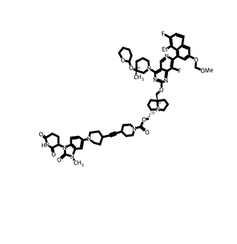 CCc1c(F)ccc2cc(OCOC)cc(-c3ncc4c(N5CCC[C@@](C)(OC6CCCCO6)C5)nc(OC[C@@]56CCCN5[C@H](COC(=O)N5CCC(C#CC7CCN(c8ccc9c(c8)n(C)c(=O)n9C8CCC(=O)NC8=O)CC7)CC5)CC6)nc4c3F)c12